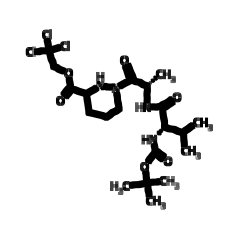 CC(C)[C@H](NC(=O)OC(C)(C)C)C(=O)N[C@@H](C)C(=O)N1CCCC(C(=O)OCC(Cl)(Cl)Cl)N1